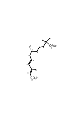 COC(C)(C)CCC[C@@H](C)C/C=C/C(C)=C/C(=O)O